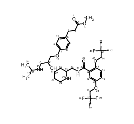 COC(=O)CCc1ccc(OCC(O)CNC(C)C)cc1.O=C(NCC1CCCCN1)c1cc(OCC(F)(F)F)ccc1OCC(F)(F)F